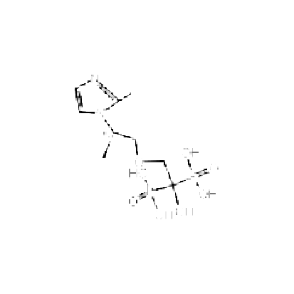 Cc1nccn1[C@H](C)COCC(O)(P(=O)(O)O)P(=O)(O)O